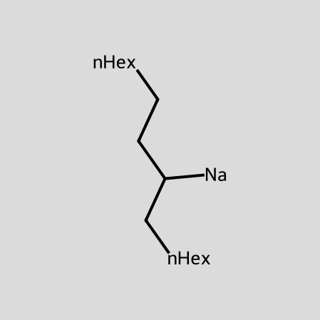 CCCCCCCC[CH]([Na])CCCCCCC